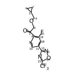 O=C(COCC1CC1)c1ccc(-c2noc(C(F)(F)F)n2)cc1F